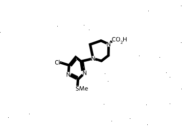 CSc1nc(Cl)cc(N2CCN(C(=O)O)CC2)n1